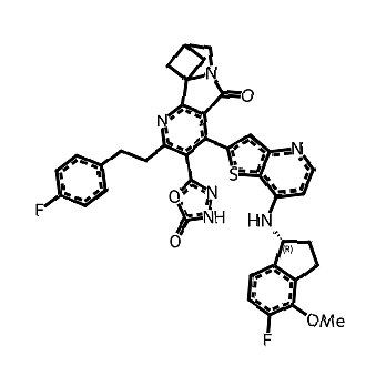 COc1c(F)ccc2c1CC[C@H]2Nc1ccnc2cc(-c3c4c(nc(CCc5ccc(F)cc5)c3-c3n[nH]c(=O)o3)C35CC(CN3C4=O)C5)sc12